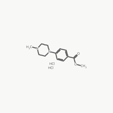 COC(=O)c1ccc(N2CCN(C)CC2)cc1.Cl.Cl